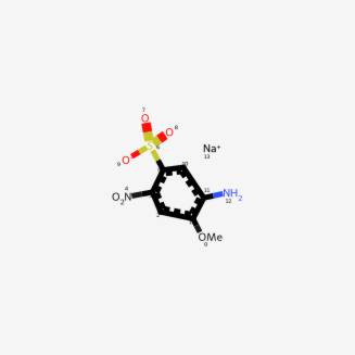 COc1cc([N+](=O)[O-])c(S(=O)(=O)[O-])cc1N.[Na+]